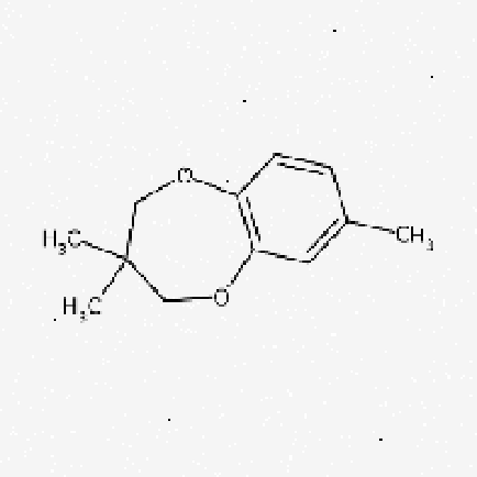 Cc1ccc2c(c1)OCC(C)(C)CO2